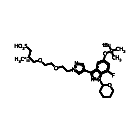 C[C@@H](COCCOCCn1cc(-c2nn(C3CCCCO3)c3c(F)cc(O[Si](C)(C)C(C)(C)C)cc23)cn1)CS(=O)(=O)O